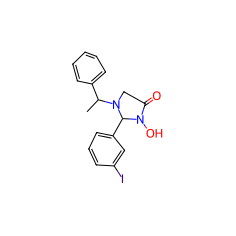 CC(c1ccccc1)N1CC(=O)N(O)C1c1cccc(I)c1